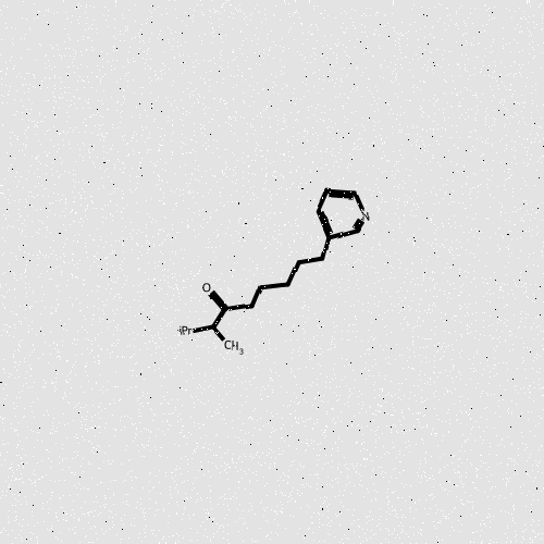 C[C](C)C(C)C(=O)CCCCCc1cccnc1